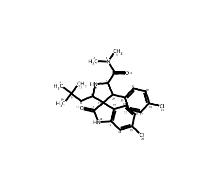 CN(C)C(=O)C1NC(CC(C)(C)C)C2(C(=O)Nc3cc(Cl)ccc32)C1c1ccc(Cl)cc1